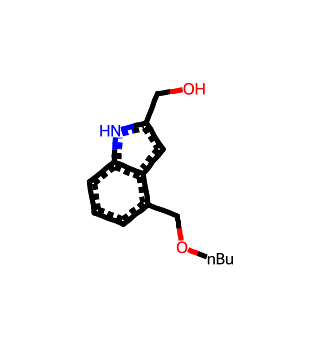 CCCCOCc1cccc2[nH]c(CO)cc12